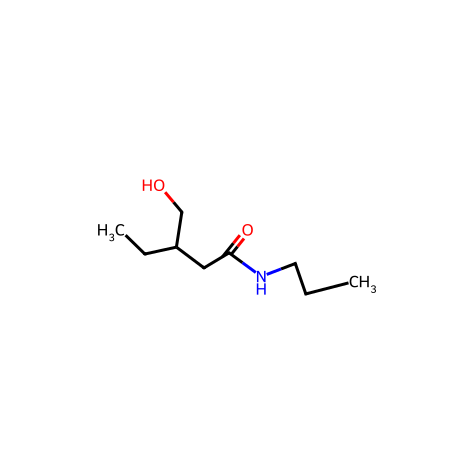 CCCNC(=O)CC(CC)CO